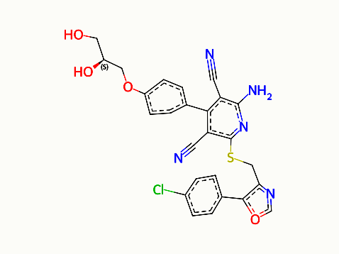 N#Cc1c(N)nc(SCc2ncoc2-c2ccc(Cl)cc2)c(C#N)c1-c1ccc(OC[C@@H](O)CO)cc1